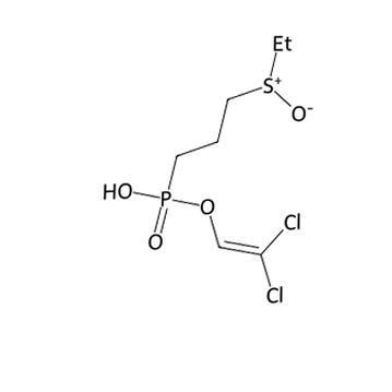 CC[S+]([O-])CCCP(=O)(O)OC=C(Cl)Cl